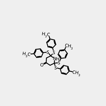 Cc1ccc(SC2(Sc3ccc(C)cc3)CC(=O)CC(Sc3ccc(C)cc3)(Sc3ccc(C)cc3)N2)cc1